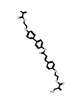 C=C(C)C(=O)OCCOc1ccc(-c2ccc(OC(=O)/C=C/c3ccc(OCCOC(=O)C(=C)CO)cc3)cc2)cc1